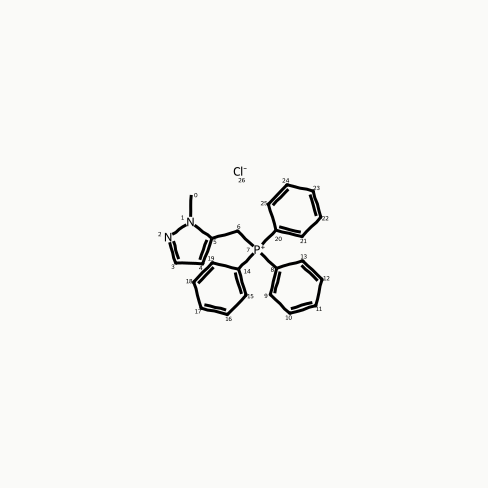 Cn1nccc1C[P+](c1ccccc1)(c1ccccc1)c1ccccc1.[Cl-]